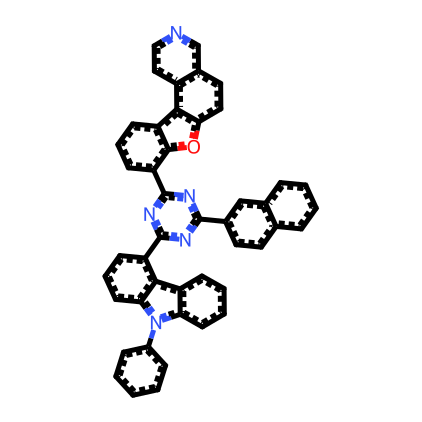 c1ccc(-n2c3ccccc3c3c(-c4nc(-c5ccc6ccccc6c5)nc(-c5cccc6c5oc5ccc7cnccc7c56)n4)cccc32)cc1